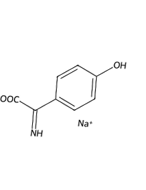 N=C(C(=O)[O-])c1ccc(O)cc1.[Na+]